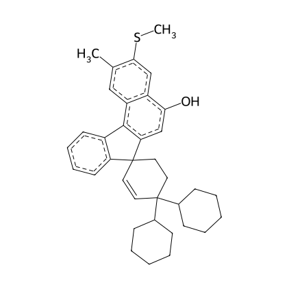 CSc1cc2c(O)cc3c(c2cc1C)-c1ccccc1C31C=CC(C2CCCCC2)(C2CCCCC2)CC1